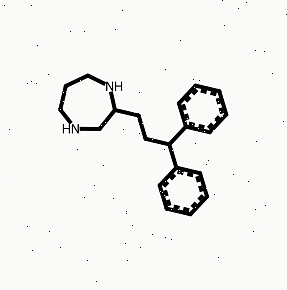 c1ccc(C(CCC2CNCCCN2)c2ccccc2)cc1